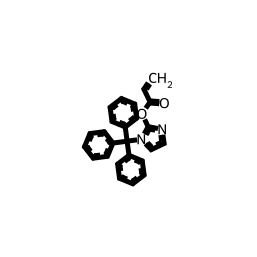 C=CC(=O)Oc1nccn1C(c1ccccc1)(c1ccccc1)c1ccccc1